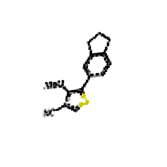 COc1c(C#N)csc1-c1ccc2c(c1)CCC2